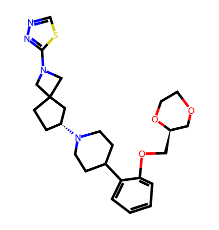 c1ccc(C2CCN([C@@H]3CCC4(C3)CN(c3nncs3)C4)CC2)c(OC[C@@H]2COCCO2)c1